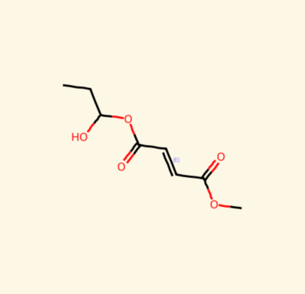 CCC(O)OC(=O)/C=C/C(=O)OC